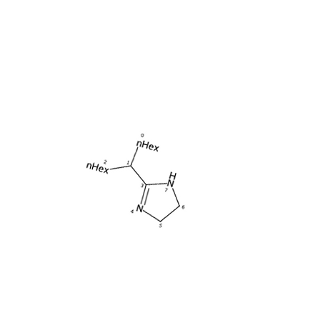 CCCCCCC(CCCCCC)C1=NCCN1